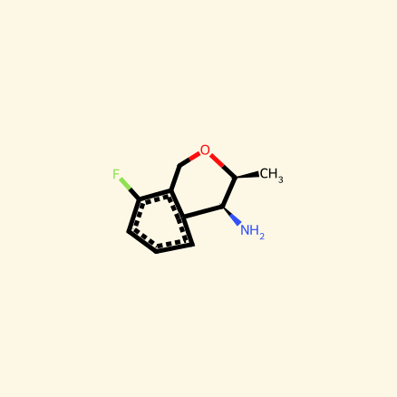 C[C@@H]1OCc2c(F)cccc2[C@@H]1N